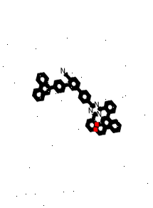 N#Cc1ccc(-c2ccc(-c3nc(-c4ccccc4)nc(-c4ccccc4-c4cc5ccccc5c5ccccc45)n3)cc2)cc1-c1ccc(-c2cc3ccccc3c3ccccc23)cc1